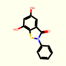 O=c1c2cc(O)cc(O)c2sn1-c1ccccc1